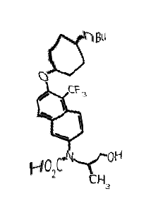 CCCCC1CCC(Oc2ccc3cc(N(C(=O)O)C(C)CO)ccc3c2C(F)(F)F)CC1